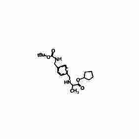 CC(NCc1ccc(CNC(=O)OC(C)(C)C)cc1)C(=O)OC1CCCC1